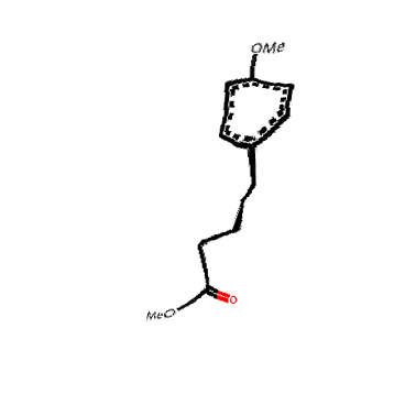 COC(=O)CCCCc1ccc(OC)cc1